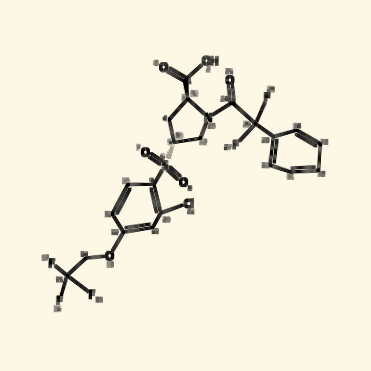 O=C(O)[C@@H]1C[C@@H](S(=O)(=O)c2ccc(OCC(F)(F)F)cc2Cl)CN1C(=O)C(F)(F)c1ccccc1